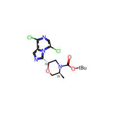 C[C@H]1CO[C@H](c2ncc3c(Cl)ncc(Cl)n23)CN1C(=O)OC(C)(C)C